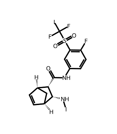 O=C(Nc1ccc(F)c(S(=O)(=O)C(F)(F)I)c1)[C@@H]1[C@H](NI)[C@H]2C=C[C@@H]1C2